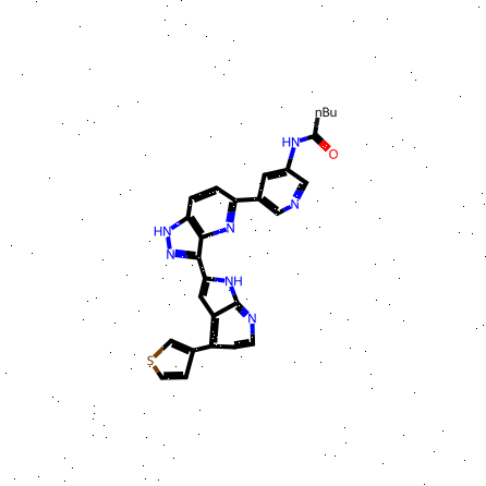 CCCCC(=O)Nc1cncc(-c2ccc3[nH]nc(-c4cc5c(-c6ccsc6)ccnc5[nH]4)c3n2)c1